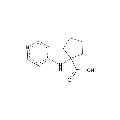 O=C(O)C1(Nc2ccn[c]n2)CCCC1